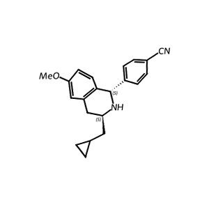 COc1ccc2c(c1)C[C@H](CC1CC1)N[C@H]2c1ccc(C#N)cc1